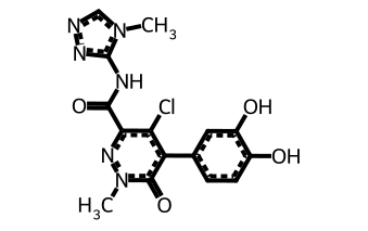 Cn1cnnc1NC(=O)c1nn(C)c(=O)c(-c2ccc(O)c(O)c2)c1Cl